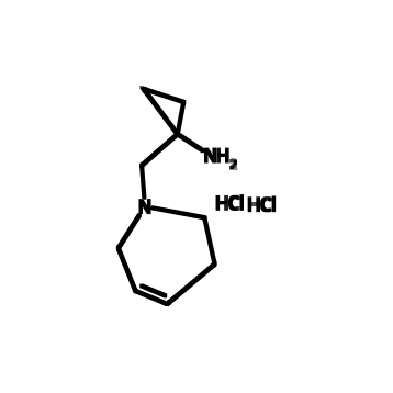 Cl.Cl.NC1(CN2CC=CCC2)CC1